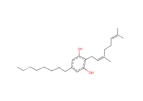 CCCCCCCCc1cc(O)c(CC=C(C)CCC=C(C)C)c(O)c1